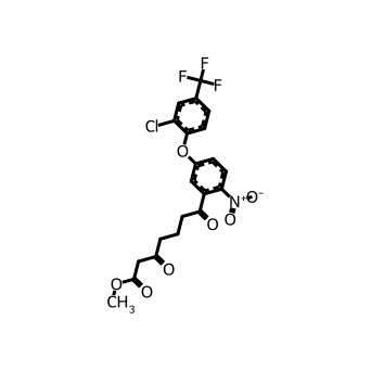 COC(=O)CC(=O)CCCC(=O)c1cc(Oc2ccc(C(F)(F)F)cc2Cl)ccc1[N+](=O)[O-]